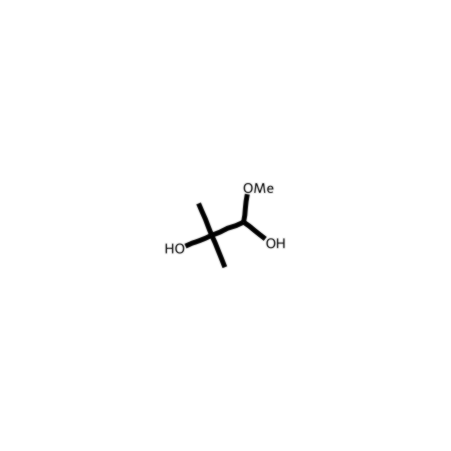 COC(O)C(C)(C)O